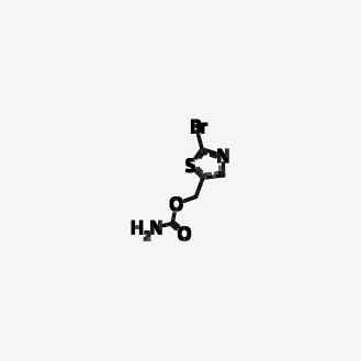 NC(=O)OCc1cnc(Br)s1